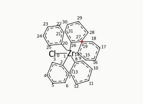 [Cl][Zr]([c]1ccccc1)([c]1ccccc1)([c]1ccccc1)([c]1ccccc1)[c]1ccccc1